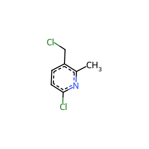 Cc1nc(Cl)ccc1CCl